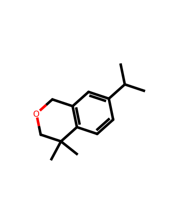 CC(C)c1ccc2c(c1)COCC2(C)C